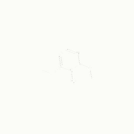 COC1=CC=NC(OC)N1N